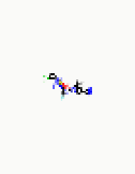 CC(=O)c1cn(CC(=O)N2C[C@H](F)C[C@H]2C(=O)Nc2nc(-c3cccc(Cl)c3)ns2)c2ccc(-c3ccnnc3)cc12